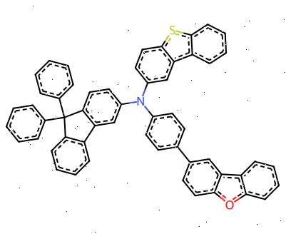 c1ccc(C2(c3ccccc3)c3ccccc3-c3cc(N(c4ccc(-c5ccc6oc7ccccc7c6c5)cc4)c4ccc5sc6ccccc6c5c4)ccc32)cc1